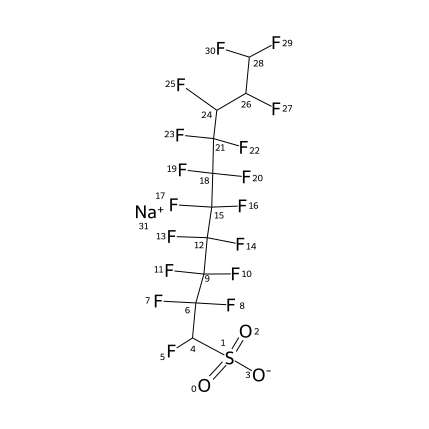 O=S(=O)([O-])C(F)C(F)(F)C(F)(F)C(F)(F)C(F)(F)C(F)(F)C(F)(F)C(F)C(F)C(F)F.[Na+]